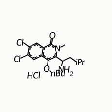 CCCCOc1c(C(N)CC(C)C)n(C)c(=O)c2cc(Cl)c(Cl)cc12.Cl